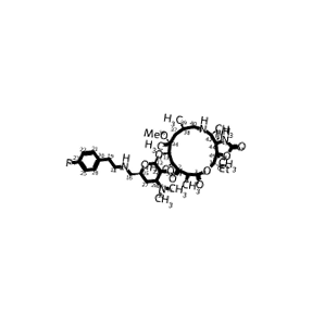 CC[C@@H]1OC(=O)C(C)C(=O)[C@H](C)[C@@H](O[C@@H]2O[C@H](CNCCc3ccc(F)cc3)CC(N(C)C)C2O)[C@](C)(OC)C[C@@H](C)CN[C@H](C)[C@H]2NC(=O)O[C@]12C